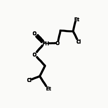 CCC(Cl)CO[PH](=O)OCC(Cl)CC